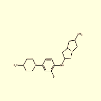 NC1CC2CC(Nc3ccc(N4CCC(C(F)(F)F)CC4)cc3F)CC2C1